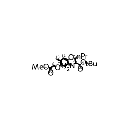 CCCC(Oc1ccc(OCC(=O)OC)c(C)c1)C(N)C(=O)OC(C)(C)C